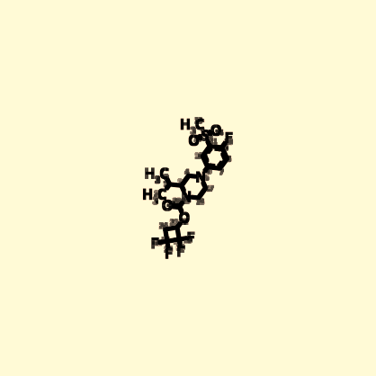 CC(C)C1CN(c2ccc(F)c(S(C)(=O)=O)c2)CCN1C(=O)OC1CC(F)(F)C1(F)F